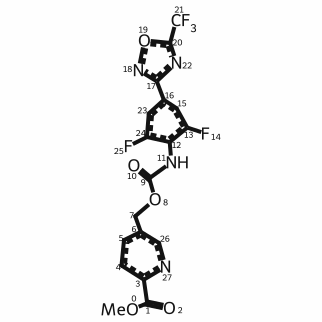 COC(=O)c1ccc(COC(=O)Nc2c(F)cc(-c3noc(C(F)(F)F)n3)cc2F)cn1